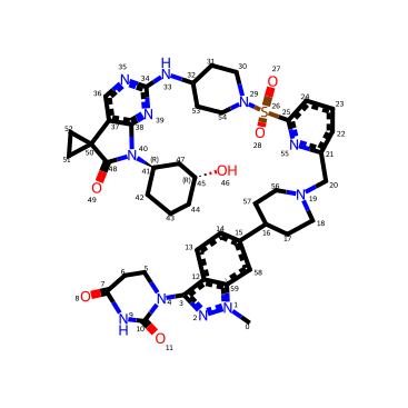 Cn1nc(N2CCC(=O)NC2=O)c2ccc(C3CCN(Cc4cccc(S(=O)(=O)N5CCC(Nc6ncc7c(n6)N([C@@H]6CCC[C@@H](O)C6)C(=O)C76CC6)CC5)n4)CC3)cc21